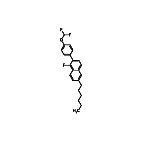 CCCCCCc1ccc2c(F)c(-c3ccc(OC(F)F)cc3)ccc2c1